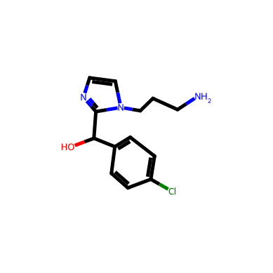 NCCCn1ccnc1C(O)c1ccc(Cl)cc1